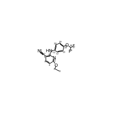 CCOc1ccc(C#N)c(Nc2ccc(OC(F)F)cc2)n1